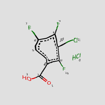 Cl.O=C(O)c1cc(F)c(F)c(Cl)c1F